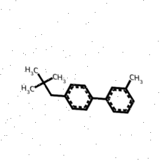 Cc1cccc(-c2ccc(CC(C)(C)C)cc2)c1